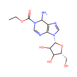 CCOC(=O)N1C=Nc2c(ncn2[C@@H]2O[C@H](CO)C(O)C2O)C1N